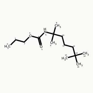 CCCOC(=O)NC(C)(C)CCCC(C)(C)C